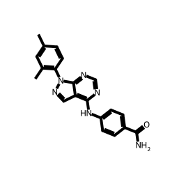 Cc1ccc(-n2ncc3c(Nc4ccc(C(N)=O)cc4)ncnc32)c(C)c1